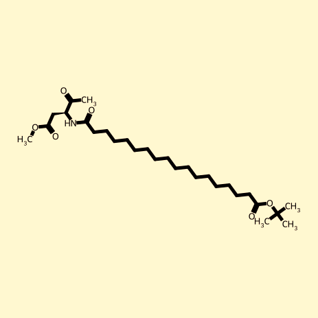 COC(=O)C[C@H](NC(=O)CCCCCCCCCCCCCCCCC(=O)OC(C)(C)C)C(C)=O